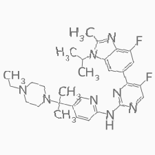 CCN1CCN(C(C)(C)c2ccc(Nc3ncc(F)c(-c4cc(F)c5nc(C)n(C(C)C)c5c4)n3)nc2)CC1